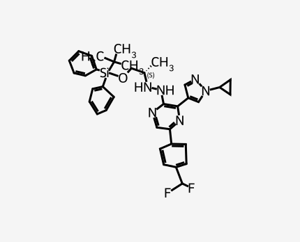 C[C@@H](CO[Si](c1ccccc1)(c1ccccc1)C(C)(C)C)NNc1ncc(-c2ccc(C(F)F)cc2)nc1-c1cnn(C2CC2)c1